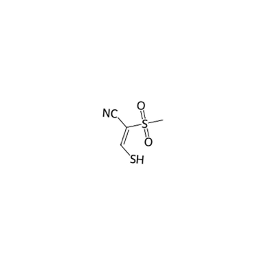 CS(=O)(=O)C(C#N)=CS